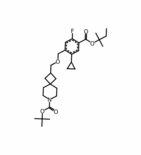 CCC(C)(C)OC(=O)c1cc(C2CC2)c(COCC2CC3(CCN(C(=O)OC(C)(C)C)CC3)C2)cc1F